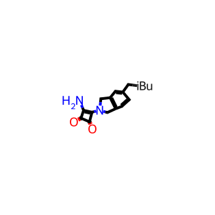 CCC(C)Cc1ccc2c(c1)CN(c1c(N)c(=O)c1=O)C2